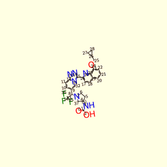 O=C(O)N[C@H]1CCN(C(c2ccc3nnc(-c4ccc5cccc(OCC6CC6)c5n4)n3c2)C(F)(F)F)C1